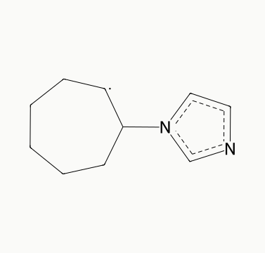 [CH]1CCCCCC1n1ccnc1